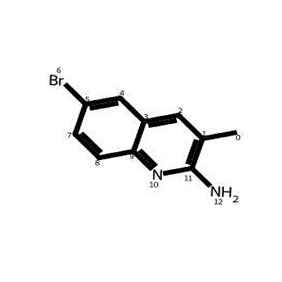 Cc1cc2cc(Br)ccc2nc1N